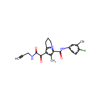 C#CCNC(=O)C(=O)c1c(C)c(C(=O)Nc2ccc(F)c(C#N)c2)n2c1CCC2